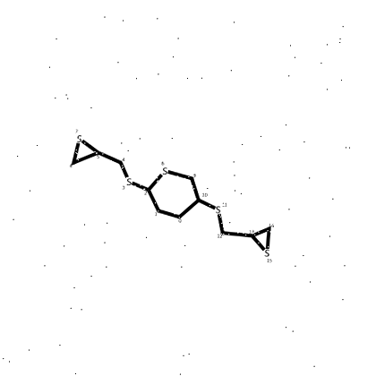 C1CC(SCC2CS2)SCC1SCC1CS1